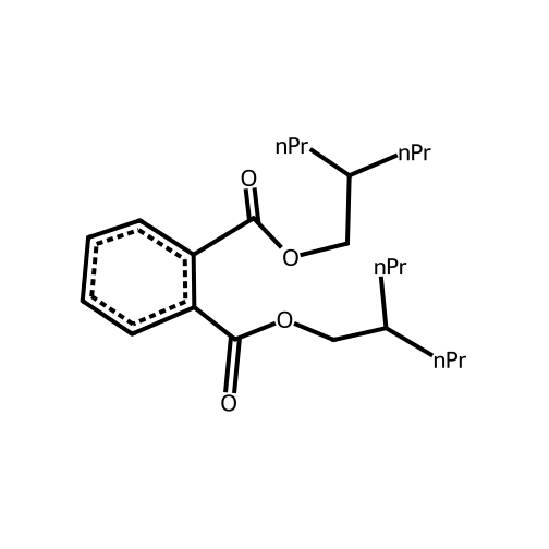 CCCC(CCC)COC(=O)c1ccccc1C(=O)OCC(CCC)CCC